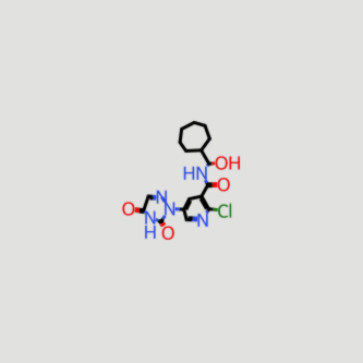 O=C(NC(O)C1CCCCCC1)c1cc(-n2ncc(=O)[nH]c2=O)cnc1Cl